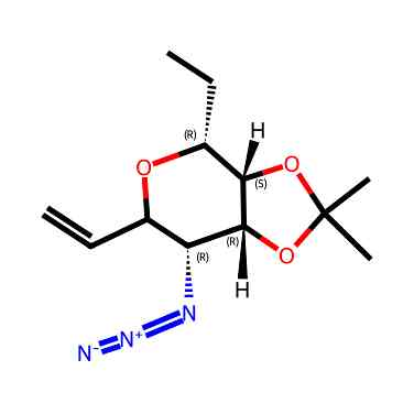 C=CC1O[C@H](CC)[C@@H]2OC(C)(C)O[C@@H]2[C@@H]1N=[N+]=[N-]